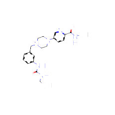 CCNC(=O)Nc1cccc(CN2CCN(c3ccc(C(=O)NC)nc3)CC2)c1